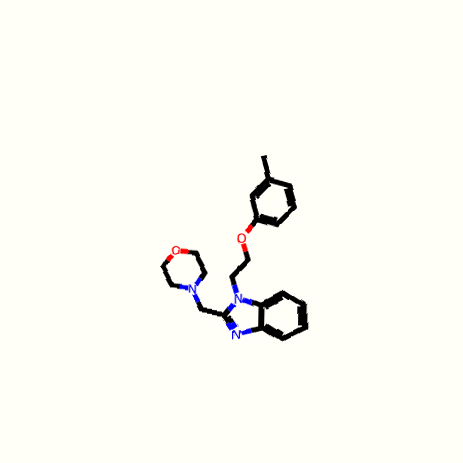 Cc1cccc(OCCn2c(CN3CCOCC3)nc3ccccc32)c1